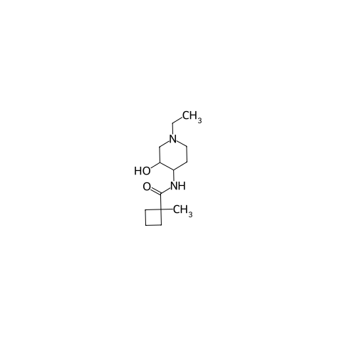 CCN1CCC(NC(=O)C2(C)CCC2)C(O)C1